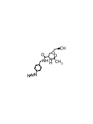 C#CCOCC(NC(C)=O)C(=O)NCc1ccc(N=[N+]=[N-])cc1